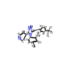 Cc1ccc(-n2c(-c3ccncc3)nnc2-c2ccc(C(C)(C)C)cc2)cc1